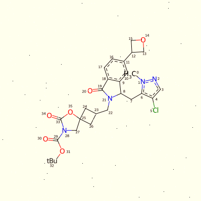 Cn1ncc(Cl)c1CC1c2cc(C3COC3)ccc2C(=O)N1CC1CC2(C1)CN(C(=O)OC(C)(C)C)C(=O)O2